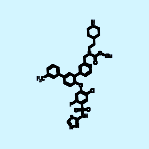 CC(C)(C)OC(=O)N(CCC1CCNCC1)Cc1cc(-c2cc(-c3cccc(C(F)(F)F)c3)ccc2Oc2cc(F)c(S(=O)(=O)Nc3nncs3)cc2Cl)ccn1